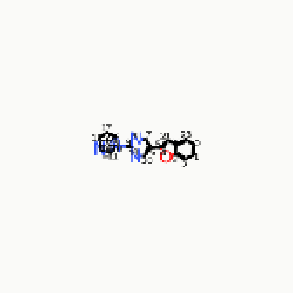 c1ccc2oc(-c3cnc(N4CCN5CCC4CC5)nc3)cc2c1